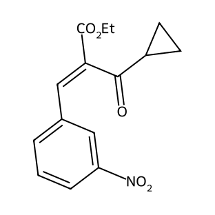 CCOC(=O)C(=Cc1cccc([N+](=O)[O-])c1)C(=O)C1CC1